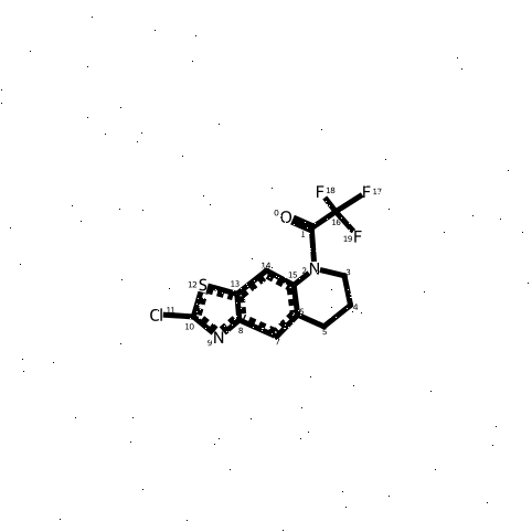 O=C(N1CCCc2cc3nc(Cl)sc3cc21)C(F)(F)F